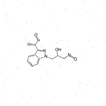 O=NCC(O)Cn1nc(C(=O)N=O)c2ccccc21